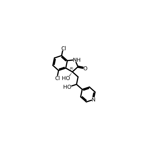 O=C1Nc2c(Cl)ccc(Cl)c2[C@]1(O)CC(O)c1ccncc1